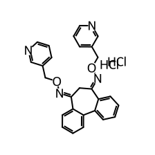 Cl.Cl.c1cncc(CON=C2CC(=NOCc3cccnc3)c3ccccc3-c3ccccc32)c1